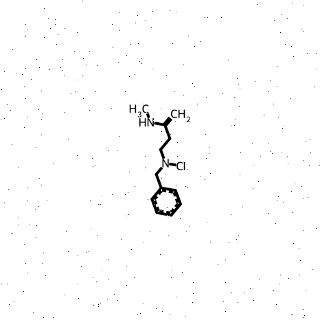 C=C(CCN(Cl)Cc1ccccc1)NC